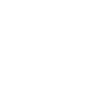 Cc1ccc(S(=O)(=O)OC23CCC(c4ccc(COC5CCCCO5)cc4)(CC2)OC3)c(C)c1